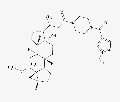 CO[C@@H]1C[C@H]2[C@@H]3CC[C@H]([C@H](C)CC(=O)N4CCN(C(=O)c5cnn(C)c5)CC4)[C@@]3(C)CC[C@@H]2[C@@]2(C)CC[C@@H]3C[C@@]312